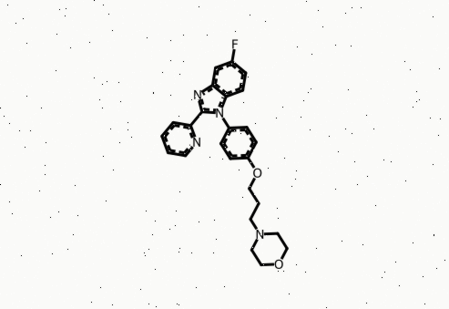 Fc1ccc2c(c1)nc(-c1ccccn1)n2-c1ccc(OCCCN2CCOCC2)cc1